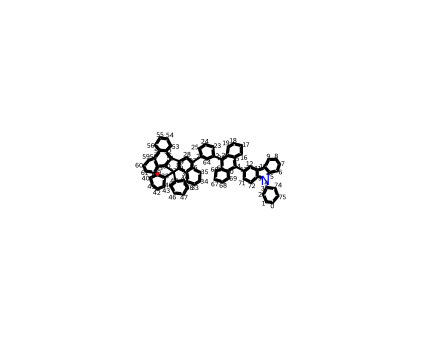 c1ccc(-n2c3ccccc3c3cc(-c4c5ccccc5c(-c5cccc(-c6cc7c(c8ccccc68)C(c6ccccc6)(c6ccccc6)c6c-7c7ccccc7c7ccccc67)c5)c5ccccc45)ccc32)cc1